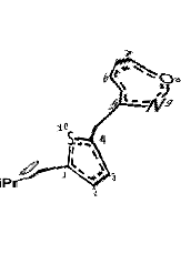 CC(C)c1ccc(-c2ccon2)s1